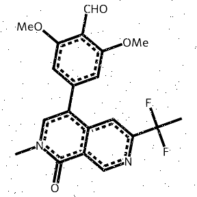 COc1cc(-c2cn(C)c(=O)c3cnc(C(C)(F)F)cc23)cc(OC)c1C=O